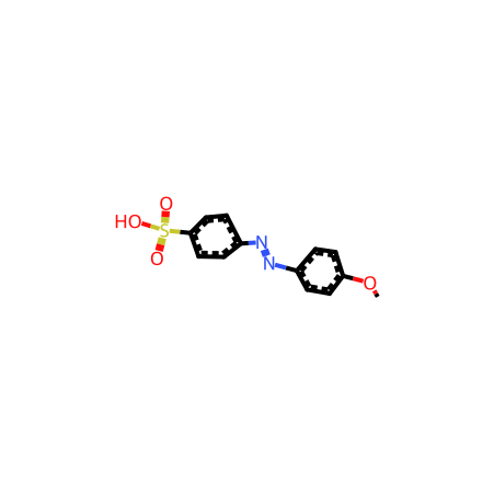 COc1ccc(N=Nc2ccc(S(=O)(=O)O)cc2)cc1